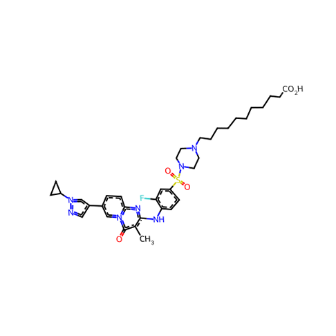 Cc1c(Nc2ccc(S(=O)(=O)N3CCN(CCCCCCCCCCC(=O)O)CC3)cc2F)nc2ccc(-c3cnn(C4CC4)c3)cn2c1=O